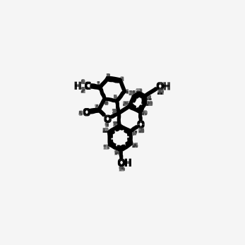 C=C1C=CCC2C1C(=O)OC21c2ccc(O)cc2Oc2cc(O)ccc21